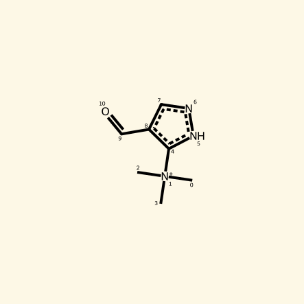 C[N+](C)(C)c1[nH]ncc1C=O